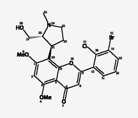 COc1cc(OC)c2c(=O)cc(-c3cccc(Br)c3Cl)oc2c1[C@@H]1CCN(C)[C@H]1CO